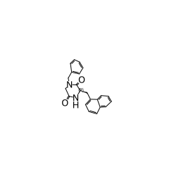 O=C1CN(Cc2ccccc2)C(=O)[C@@H](Cc2cccc3ccccc23)N1